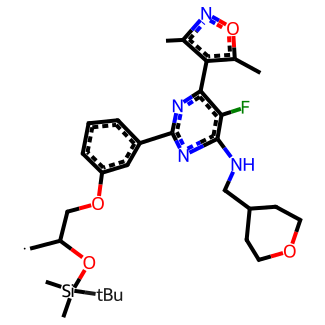 [CH2]C(COc1cccc(-c2nc(NCC3CCOCC3)c(F)c(-c3c(C)noc3C)n2)c1)O[Si](C)(C)C(C)(C)C